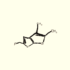 Cc1sc2sc(F)cc2c1C